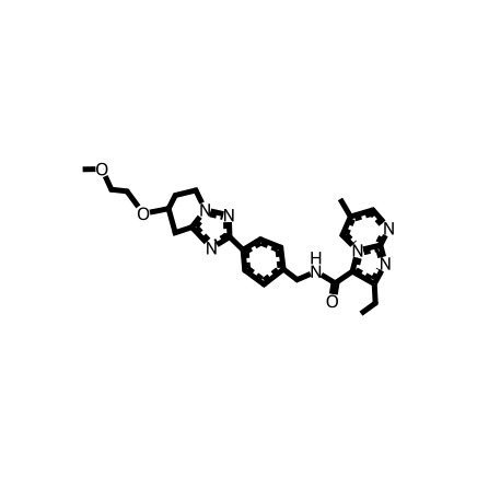 CCc1nc2ncc(C)cn2c1C(=O)NCc1ccc(-c2nc3n(n2)CCC(OCCOC)C3)cc1